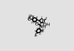 CC(C)Oc1ccc([C@H]2CN(C)C(O)[C@@H]2C(=O)Nc2ccc(F)cc2F)cc1